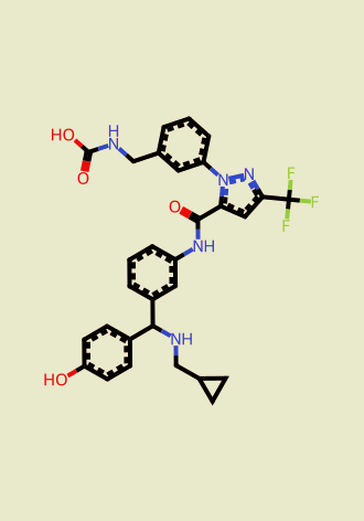 O=C(O)NCc1cccc(-n2nc(C(F)(F)F)cc2C(=O)Nc2cccc(C(NCC3CC3)c3ccc(O)cc3)c2)c1